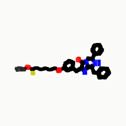 CC(C)(C)OC(=S)CCCCCOc1cccc(Cc2nc3c(Cc4ccccc4)[nH]c(-c4ccccc4)cn-3c2=O)c1